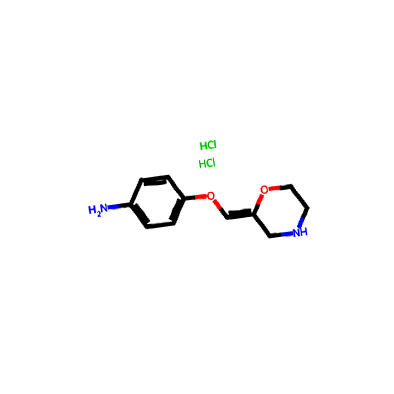 Cl.Cl.Nc1ccc(OC=C2CNCCO2)cc1